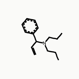 C=CC(c1ccccc1)N(CCC)CCC